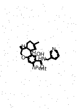 C=C1COc2cc(CCCCC)c(C(=O)NCc3cccnc3)c(O)c2[C@@H]2C=C(C)CC[C@@H]12